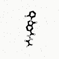 O=C(NNC(=O)C(F)F)c1ccc2c(c1)C(=O)N(c1ccccc1Br)C2